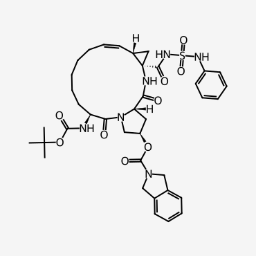 CC(C)(C)OC(=O)N[C@H]1CCCCC/C=C\[C@@H]2C[C@@]2(C(=O)NS(=O)(=O)Nc2ccccc2)NC(=O)[C@@H]2C[C@@H](OC(=O)N3Cc4ccccc4C3)CN2C1=O